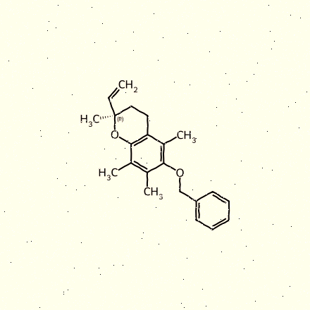 C=C[C@@]1(C)CCc2c(C)c(OCc3ccccc3)c(C)c(C)c2O1